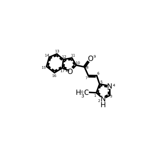 Cc1[nH]cnc1/C=C/C(=O)c1cc2ccccc2o1